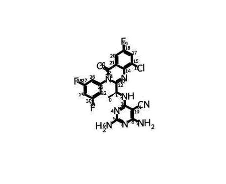 C[C@H](Nc1nc(N)nc(N)c1C#N)c1nc2c(Cl)cc(F)cc2c(=O)n1-c1cc(F)cc(F)c1